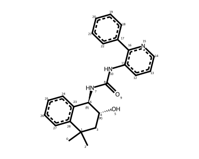 CC1(C)C[C@@H](O)[C@H](NC(=O)Nc2cccnc2-c2ccccc2)c2ccccc21